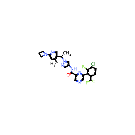 Cc1cc(N2CCC2)ncc1[C@@H](C)n1cc(NC(=O)c2cncc(-c3c(C(F)F)ccc(Cl)c3F)n2)cn1